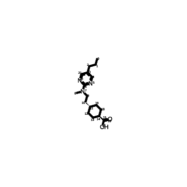 CCCc1cnc(N(C)CC[C@H]2CC[C@H](C(=O)O)CC2)nc1